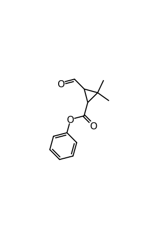 CC1(C)C(C=O)C1C(=O)Oc1ccccc1